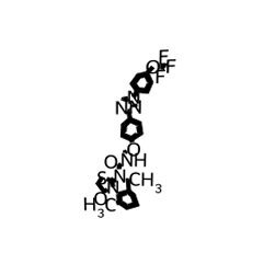 CCc1cccc(C)c1N1C(=O)CS/C1=N\C(=O)NCOc1ccc(-c2ncn(-c3ccc(OC(F)(F)F)cc3)n2)cc1